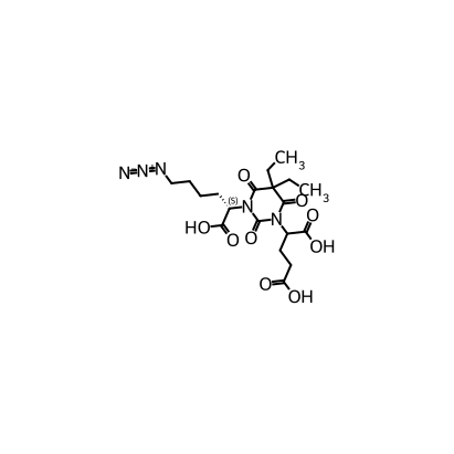 CCC1(CC)C(=O)N(C(CCC(=O)O)C(=O)O)C(=O)N([C@@H](CCCCN=[N+]=[N-])C(=O)O)C1=O